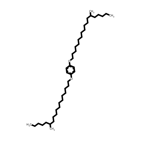 CCCCCC(C)CCCCCCCCCCCCOc1ccc(OCCCCCCCCCCCCC(C)CCCCC)cc1